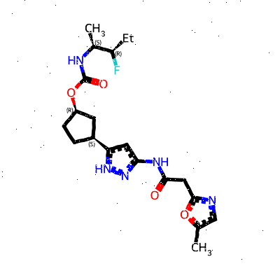 CC[C@@H](F)[C@H](C)NC(=O)O[C@@H]1CC[C@H](c2cc(NC(=O)Cc3ncc(C)o3)n[nH]2)C1